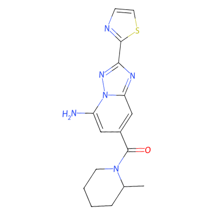 CC1CCCCN1C(=O)c1cc(N)n2nc(-c3nccs3)nc2c1